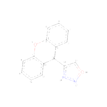 c1ccc2c(c1)Oc1ccccc1C2c1conn1